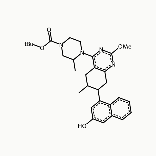 COc1nc2c(c(N3CCN(C(=O)OC(C)(C)C)CC3C)n1)CC(C)C(c1cc(O)cc3ccccc13)C2